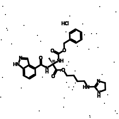 C[C@@](NC(=O)OCc1ccccc1)(NC(=O)c1cccc2[nH]ncc12)C(=O)OCCCCNC1=NCCN1.Cl